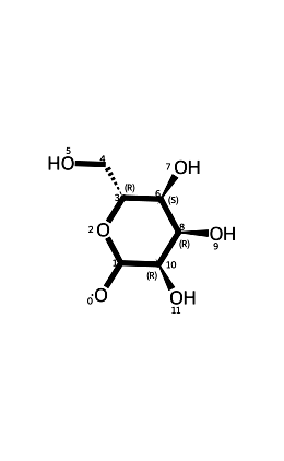 [O]C1O[C@H](CO)[C@@H](O)[C@@H](O)[C@H]1O